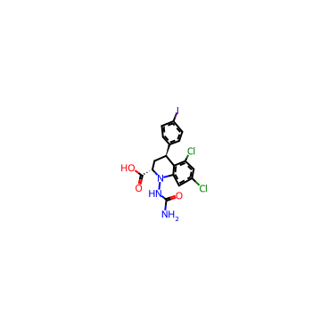 NC(=O)NN1c2cc(Cl)cc(Cl)c2[C@H](c2ccc(I)cc2)C[C@H]1C(=O)O